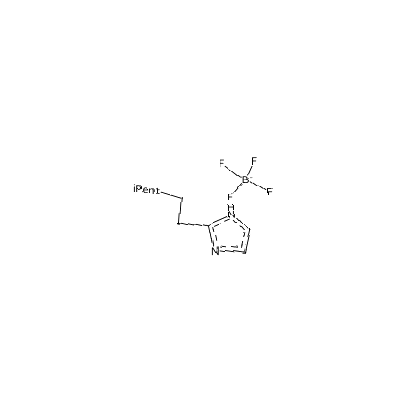 CCCC(C)CCc1ncc[nH]1.F[B-](F)(F)F